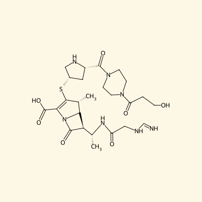 C[C@H]1C(S[C@@H]2CN[C@H](C(=O)N3CCN(C(=O)CCO)CC3)C2)=C(C(=O)O)N2C(=O)[C@H]([C@@H](C)NC(=O)CNC=N)C12